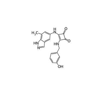 Cc1cc(Nc2c(NCc3cccc(O)c3)c(=O)c2=O)cc2cn[nH]c12